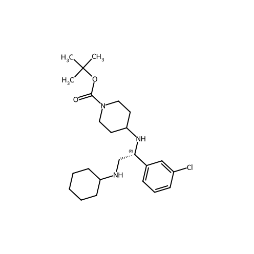 CC(C)(C)OC(=O)N1CCC(N[C@@H](CNC2CCCCC2)c2cccc(Cl)c2)CC1